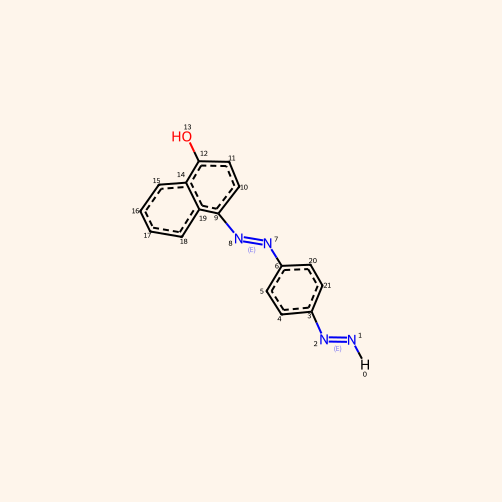 [H]/N=N/c1ccc(/N=N/c2ccc(O)c3ccccc23)cc1